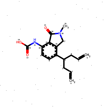 C=CCC(CC=C)c1ccc(NC(=O)O)c2c1CN(C)C2=O